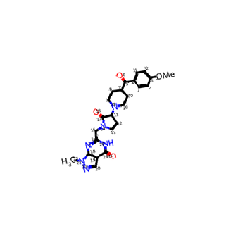 COc1ccc(C(=O)C2CCN(C3CCN(CC4=NC5C(C=NN5C)C(=O)N4)C3=O)CC2)cc1